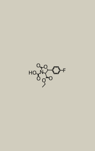 CCOC(=O)C1C(c2ccc(F)cc2)OC(=O)N1C(=O)O